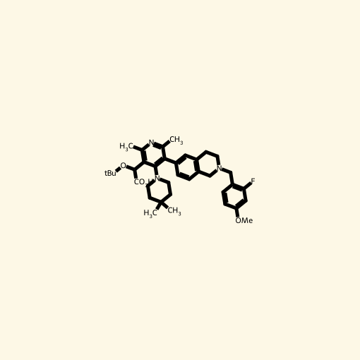 COc1ccc(CN2CCc3cc(-c4c(C)nc(C)c(C(OC(C)(C)C)C(=O)O)c4N4CCC(C)(C)CC4)ccc3C2)c(F)c1